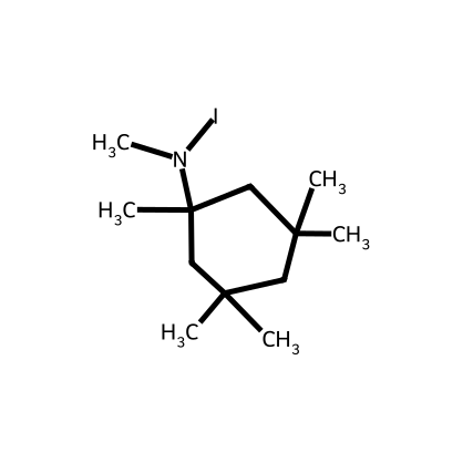 CN(I)C1(C)CC(C)(C)CC(C)(C)C1